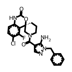 Nc1c(C(=O)N2CCC[C@@]3(C2)OC(=O)Nc2ccc(Cl)c(F)c23)cnn1Cc1ccccc1